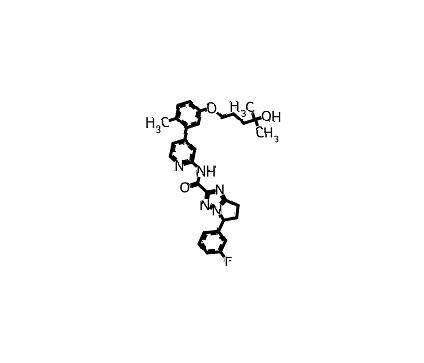 Cc1ccc(OCCCC(C)(C)O)cc1-c1ccnc(NC(=O)c2nc3n(n2)C(c2cccc(F)c2)CC3)c1